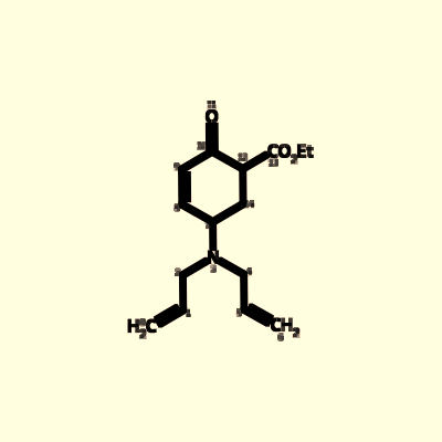 C=CCN(CC=C)C1C=CC(=O)C(C(=O)OCC)C1